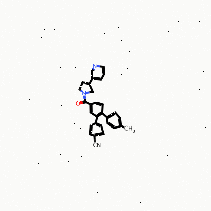 Cc1ccc(-c2ccc(C(=O)N3CCC(c4cccnc4)C3)cc2-c2ccc(C#N)cc2)cc1